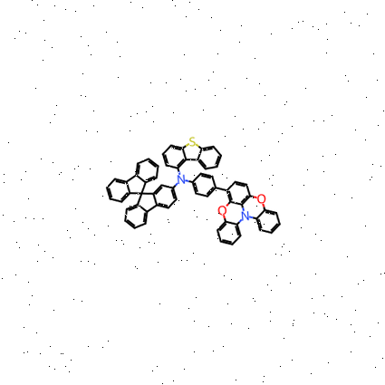 c1ccc2c(c1)Oc1ccc(-c3ccc(N(c4ccc5c(c4)C4(c6ccccc6-c6ccccc64)c4ccccc4-5)c4cccc5sc6ccccc6c45)cc3)c3c1N2c1ccccc1O3